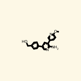 COc1ccc(-c2cc(-c3ccc(CO)cc3)cnc2N)cn1